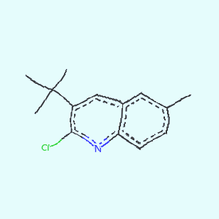 Cc1ccc2nc(Cl)c(C(C)(C)C)cc2c1